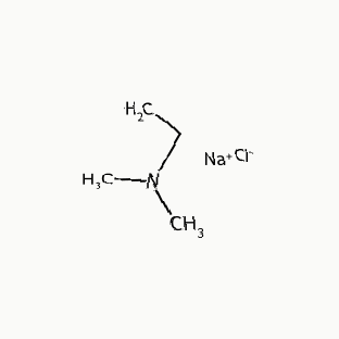 [CH2]CN(C)C.[Cl-].[Na+]